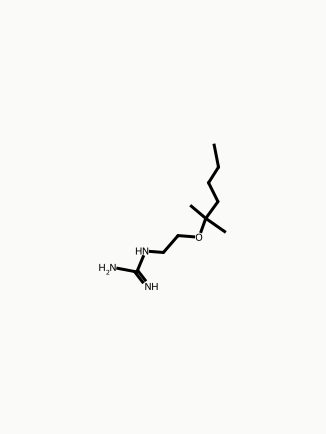 CCCCC(C)(C)OCCNC(=N)N